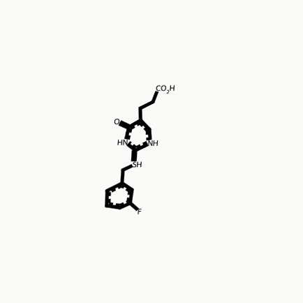 O=C(O)CCc1c[nH]c(=[SH]Cc2cccc(F)c2)[nH]c1=O